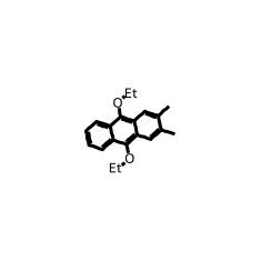 CCOc1c2ccccc2c(OCC)c2cc(C)c(C)cc12